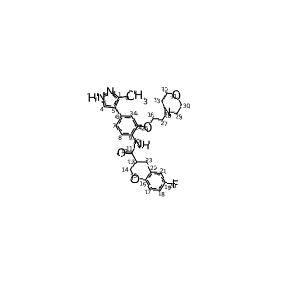 Cc1n[nH]cc1-c1ccc(NC(=O)C2COc3ccc(F)cc3C2)c(OCCN2CCOCC2)c1